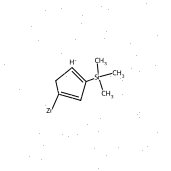 C[Si](C)(C)C1=CC[C]([Zr])=C1.[H-]